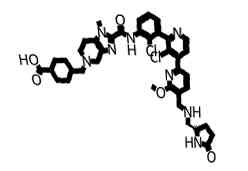 COc1nc(-c2ccnc(-c3cccc(NC(=O)c4nc5c(n4C)CCN(CC4CCC(C(=O)O)CC4)C5)c3Cl)c2Cl)ccc1CNC[C@H]1CCC(=O)N1